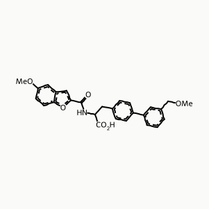 COCc1cccc(-c2ccc(CC(NC(=O)c3cc4cc(OC)ccc4o3)C(=O)O)cc2)c1